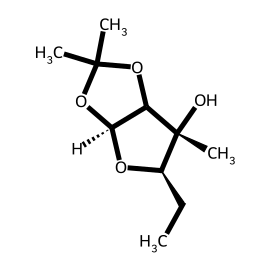 CC[C@H]1O[C@H]2OC(C)(C)OC2[C@]1(C)O